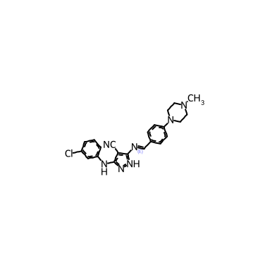 CN1CCN(c2ccc(/C=N/c3[nH]nc(Nc4cccc(Cl)c4)c3C#N)cc2)CC1